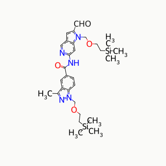 Cc1nn(COCC[Si](C)(C)C)c2ccc(C(=O)Nc3cc4c(cn3)cc(C=O)n4COCC[Si](C)(C)C)cc12